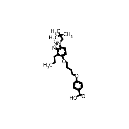 CCCc1c(OCCCCOc2ccc(C(=O)O)cc2)ccc2c1nnn2CC(C)(C)C